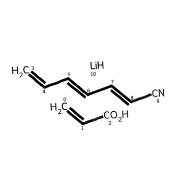 C=CC(=O)O.C=CC=CC=CC#N.[LiH]